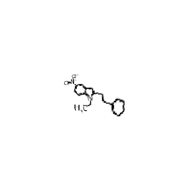 CCn1c(C=Cc2ccccc2)cc2cc([N+](=O)[O-])ccc21